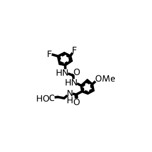 COc1ccc(C(=O)NCCCO)c(NC(=O)Nc2cc(F)cc(F)c2)c1